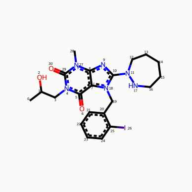 CC(O)Cn1c(=O)c2c(nc(N3CCCCCN3)n2Cc2ccccc2I)n(C)c1=O